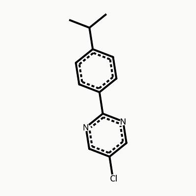 CC(C)c1ccc(-c2ncc(Cl)cn2)cc1